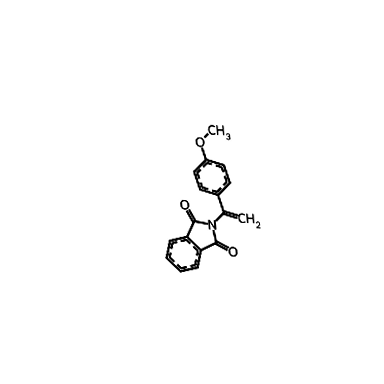 C=C(c1ccc(OC)cc1)N1C(=O)c2ccccc2C1=O